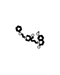 COc1ccc2ccc(=O)n(CCCC3(C=O)CCN(CCOc4ccccc4)CC3)c2c1